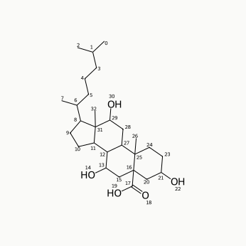 CC(C)CCCC(C)C1CCC2C3C(O)CC4(C(=O)O)CC(O)CCC4(C)C3CC(O)C12C